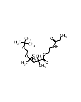 CCC(=O)NCCOC(=O)C(C)(C)CC(C)(C)OCOC(C)(C)C